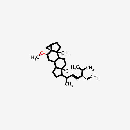 CC[C@H](/C=C/[C@@H](C)C1CCC2C3C[C@@H](OC)[C@]45CC4CC[C@]5(C)C3CC[C@@]21C)C(C)C